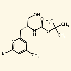 Cc1cc(Br)nc(C[C@H](CO)NC(=O)OC(C)(C)C)c1